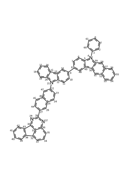 c1ccc(-n2c3ccc(-c4ccc5c(c4)c4ccccc4n5-c4ccc5cc(-c6nc7c8c(cccc8n6)-c6ccccc6-7)ccc5c4)cc3c3cc4ccccc4cc32)cc1